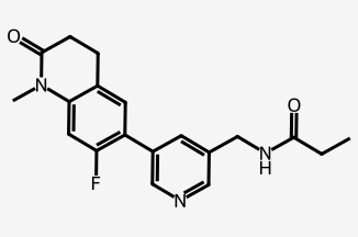 CCC(=O)NCc1cncc(-c2cc3c(cc2F)N(C)C(=O)CC3)c1